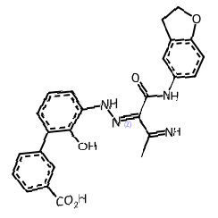 CC(=N)/C(=N/Nc1cccc(-c2cccc(C(=O)O)c2)c1O)C(=O)Nc1ccc2c(c1)CCO2